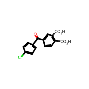 O=C(c1ccc(Cl)cc1)c1ccc(C(=O)O)c(C(=O)O)c1